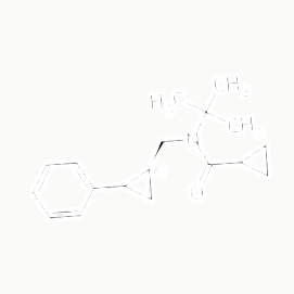 CC(C)(C)N(C[C@H]1CC1c1ccccc1)C(=O)C1CC1